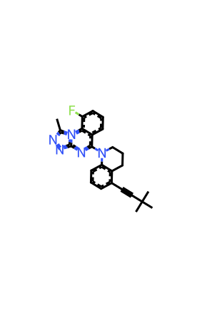 Cc1nnc2nc(N3CCCc4c(C#CC(C)(C)C)cccc43)c3cccc(F)c3n12